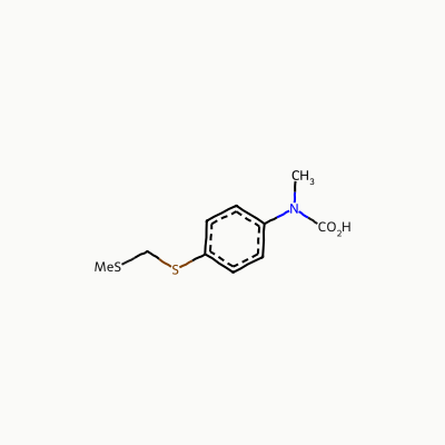 CSCSc1ccc(N(C)C(=O)O)cc1